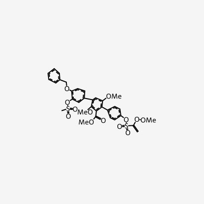 C=C(OOC)S(=O)(=O)Oc1ccc(-c2c(OC)cc(-c3ccc(OCc4ccccc4)c(OS(C)(=O)=O)c3)c(OC)c2C(=O)OC)cc1